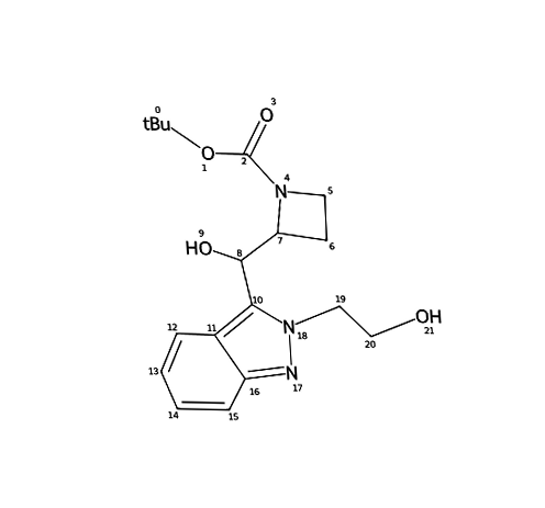 CC(C)(C)OC(=O)N1CCC1C(O)c1c2ccccc2nn1CCO